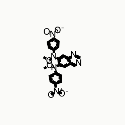 CON(c1ccc([N+](=O)[O-])cc1)c1cc2cncnc2cc1N(OC)c1ccc([N+](=O)[O-])cc1